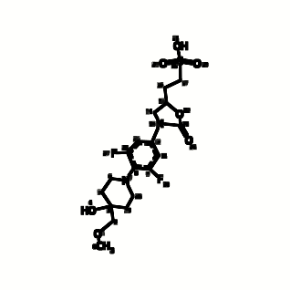 COCC1(O)CCN(c2c(F)cc(N3CC(CCS(=O)(=O)O)OC3=O)cc2F)CC1